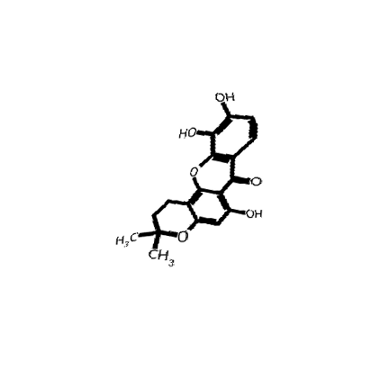 CC1(C)CCc2c(cc(O)c3c(=O)c4ccc(O)c(O)c4oc23)O1